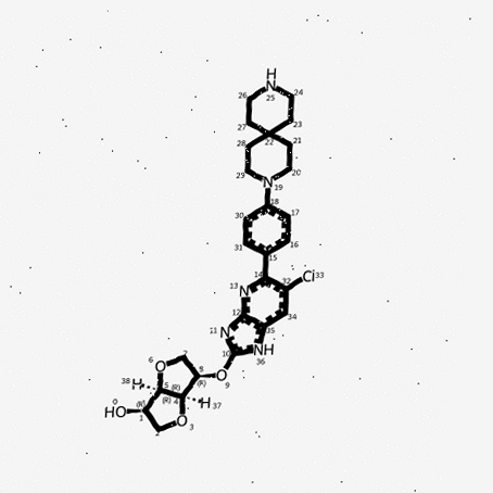 O[C@@H]1CO[C@H]2[C@@H]1OC[C@H]2Oc1nc2nc(-c3ccc(N4CCC5(CCNCC5)CC4)cc3)c(Cl)cc2[nH]1